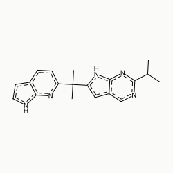 CC(C)c1ncc2cc(C(C)(C)c3ccc4cc[nH]c4n3)[nH]c2n1